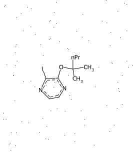 CCCC(C)(C)Oc1nccnc1I